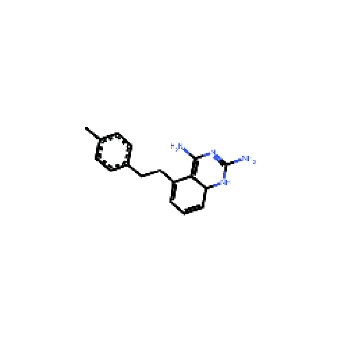 Cc1ccc(CCC2=CC=CC3NC(N)=NC(N)=C23)cc1